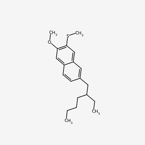 CCCCC(CC)Cc1ccc2cc(OC)c(SC)cc2c1